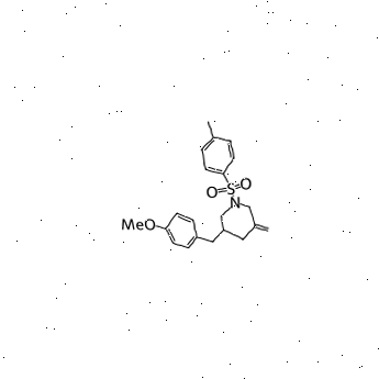 C=C1CC(Cc2ccc(OC)cc2)CN(S(=O)(=O)c2ccc(C)cc2)C1